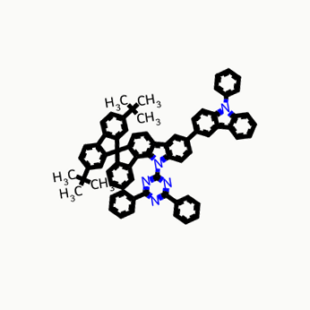 CC(C)(C)c1ccc2c(c1)C1(c3cc(C(C)(C)C)ccc3-2)c2ccccc2-c2c1ccc1c3cc(-c4ccc5c(c4)c4ccccc4n5-c4ccccc4)ccc3n(-c3nc(-c4ccccc4)nc(-c4ccccc4)n3)c21